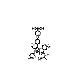 C[C@@H](C#N)NC(=O)[C@@H]1CC(F)(F)CC[C@H]1c1nn(-c2ccc(F)cn2)c(CO)c1-c1ccc(N2CCS(O)(O)CC2)cc1